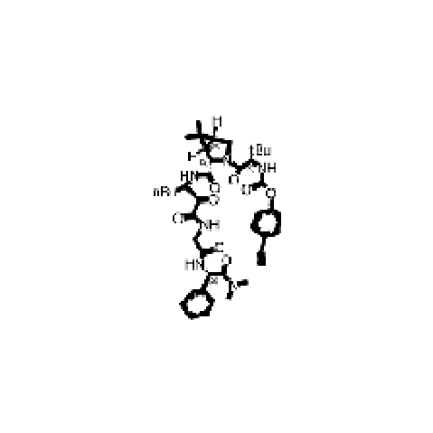 C#Cc1ccc(OC(=O)N[C@H](C(=O)N2C[C@@H]3[C@H]([C@H]2C(=O)NC(CCCC)C(=O)C(=O)NCC(=O)N[C@H](C(=O)N(C)C)c2ccccc2)C3(C)C)C(C)(C)C)cc1